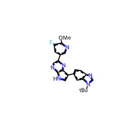 COc1ncc(-c2cnc3[nH]cc(-c4ccc5ncn(C(C)(C)C)c5c4)c3n2)cc1F